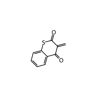 C=C1C(=O)Sc2ccccc2C1=O